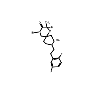 Cl.[2H]C1(C)OC2(CCN(CCc3cc(F)ccc3F)CC2)CN(CC)C1=O